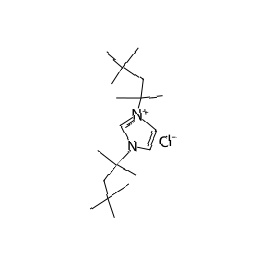 CC(C)(C)CC(C)(C)n1cc[n+](C(C)(C)CC(C)(C)C)c1.[Cl-]